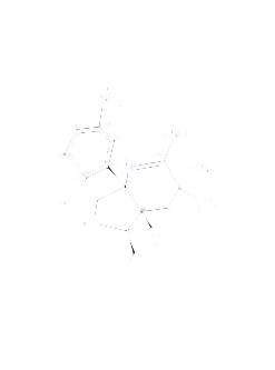 C[C@@]1(C#N)C[C@@H]2[C@@H](CF)OC[C@]2(c2cc(N)ccc2F)N=C1N